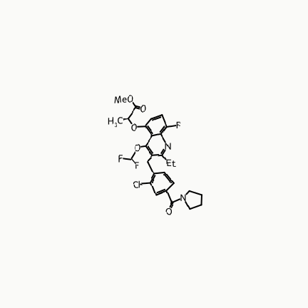 CCc1nc2c(F)ccc(O[C@@H](C)C(=O)OC)c2c(OC(F)F)c1Cc1ccc(C(=O)N2CCCC2)cc1Cl